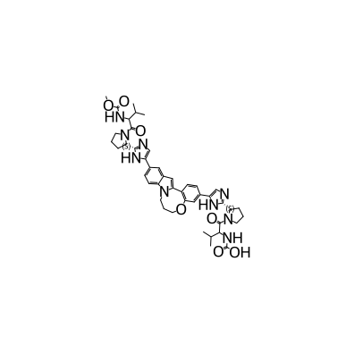 COC(=O)NC(C(=O)N1CCC[C@H]1c1ncc(-c2ccc3c(c2)cc2n3CCCOc3cc(-c4cnc([C@@H]5CCCN5C(=O)C(NC(=O)O)C(C)C)[nH]4)ccc3-2)[nH]1)C(C)C